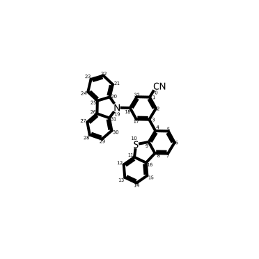 N#Cc1cc(-c2cccc3c2sc2ccccc23)cc(-n2c3ccccc3c3ccccc32)c1